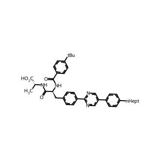 CCCCCCCc1ccc(-c2cnc(-c3ccc(C[C@H](NC(=O)c4ccc(C(C)(C)C)cc4)C(=O)N[C@H](C)C(=O)O)cc3)nc2)cc1